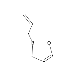 C=CCB1CC=CO1